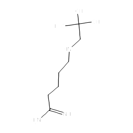 CC(C)(C)CNCCCCC(=N)N